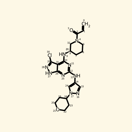 C=CC(=O)N1CCC[C@@H](Nc2nc(Nc3cnn(C4CCOCC4)c3)nc3[nH]nc(Cl)c23)C1